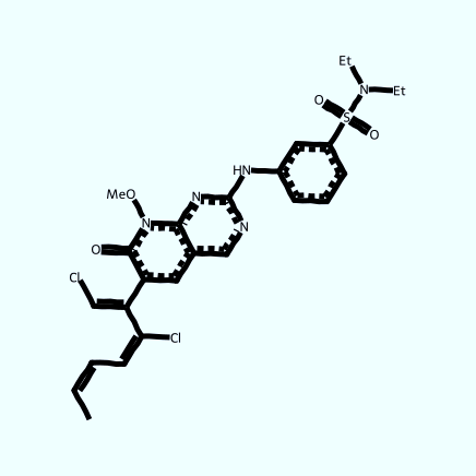 C\C=C/C=C(Cl)\C(=C\Cl)c1cc2cnc(Nc3cccc(S(=O)(=O)N(CC)CC)c3)nc2n(OC)c1=O